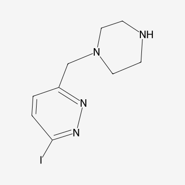 Ic1ccc(CN2CCNCC2)nn1